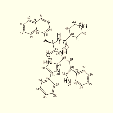 O=C(N[C@H](Cc1cccc2ccccc12)C(=O)N[C@H](Cc1c[nH]c2ccccc12)c1nc(-c2ccccc2)c[nH]1)C1CCNCC1